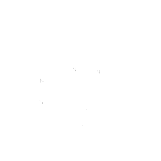 CC1(C)CC(=C(C#N)C#N)C(C#N)=C(N2CCCC(S)C2)C1